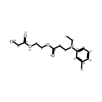 CCN(CCC(=O)OCCOC(=O)CCl)c1cccc(C)c1